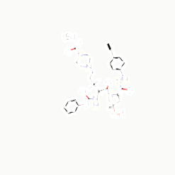 C#Cc1ccc(CNC(=O)[C@@H]2C[C@@H](O)CN2C(=O)[C@H](NC(=O)Oc2ccccc2)C(C)(C)CCN2CCN(C(=O)OC(C)(C)C)CC2)cc1